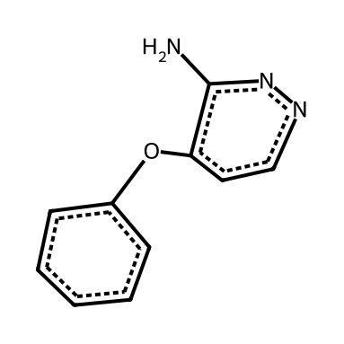 Nc1nnccc1Oc1ccccc1